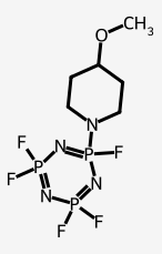 COC1CCN(P2(F)=NP(F)(F)=NP(F)(F)=N2)CC1